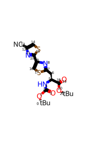 CC(C)(C)OC(=O)N[C@@H](Cc1nc(-c2nc(C#N)cs2)cs1)C(=O)OC(C)(C)C